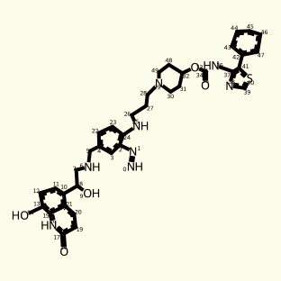 N=Nc1cc(CNCC(O)c2ccc(O)c3[nH]c(=O)ccc23)ccc1NCCCN1CCC(OC(=O)Nc2ncsc2-c2ccccc2)CC1